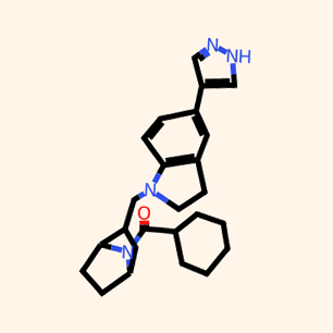 O=C(C1CCCCC1)N1C2CCC1C(CN1CCc3cc(-c4cn[nH]c4)ccc31)C2